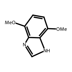 COc1ccc(OC)c2[nH]cnc12